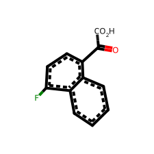 O=C(O)C(=O)c1ccc(F)c2ccccc12